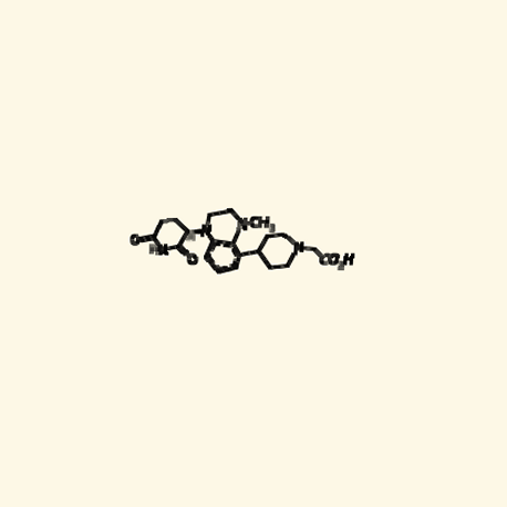 CN1CCN([C@@H]2CCC(=O)NC2=O)c2cccc(C3CCN(CC(=O)O)CC3)c21